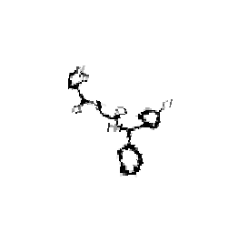 O=C(CNC(=O)c1ccno1)NC(c1ccccc1)c1ccc(Cl)cc1